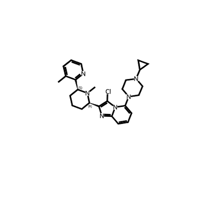 Cc1cccnc1[C@@H]1CCC[C@H](c2nc3cccc(N4CCN(C5CC5)CC4)n3c2Cl)N1C